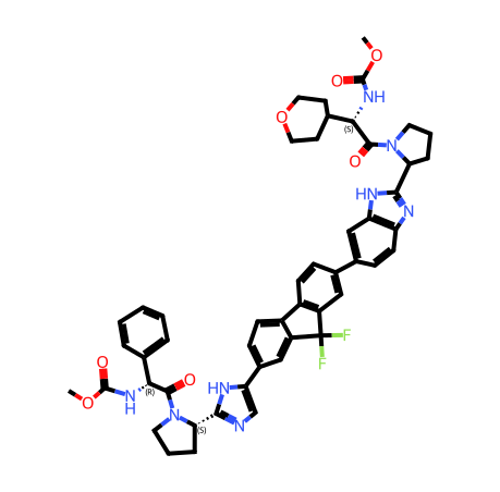 COC(=O)N[C@H](C(=O)N1CCCC1c1nc2ccc(-c3ccc4c(c3)C(F)(F)c3cc(-c5cnc([C@@H]6CCCN6C(=O)[C@H](NC(=O)OC)c6ccccc6)[nH]5)ccc3-4)cc2[nH]1)C1CCOCC1